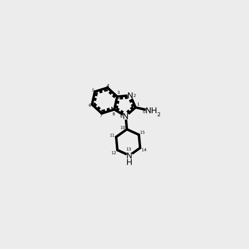 Nc1nc2ccccc2n1C1CCNCC1